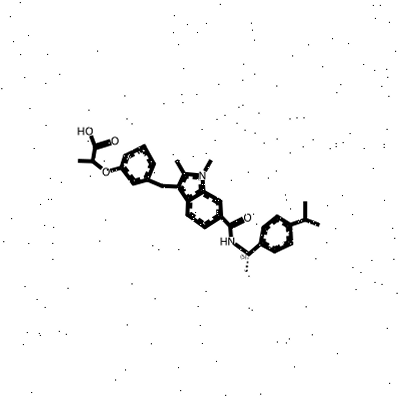 Cc1c(Cc2cccc(OC(C)C(=O)O)c2)c2ccc(C(=O)N[C@@H](C)c3ccc(C(C)C)cc3)cc2n1C